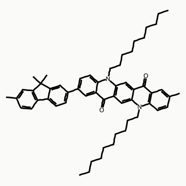 CCCCCCCCCCn1c2ccc(C)cc2c(=O)c2cc3c(cc21)c(=O)c1cc(-c2ccc4c(c2)C(C)(C)c2cc(C)ccc2-4)ccc1n3CCCCCCCCCC